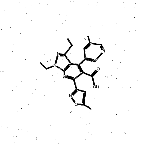 CCc1nn(CC)c2nc(-c3cc(C)on3)c(C(=O)O)c(-c3cncc(C)c3)c12